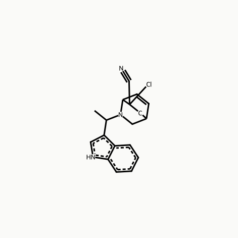 CC(c1c[nH]c2ccccc12)N1CC2C=CC1C(Cl)(C#N)C2